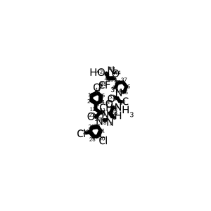 CC(NC(=O)c1cnc2n1[C@](C)(Cc1ccc(OC(F)(F)F)cc1)C(=O)N2c1cc(Cl)cc(Cl)c1)C(=O)N1CCC[C@@H](c2cc(O)no2)C1